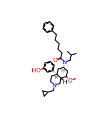 COC1C[C@@H](N(CC(C)C)C(=O)CCCCCc2ccccc2)C[C@]2(c3cccc(O)c3)CCN(CC3CC3)C[C@@H]12